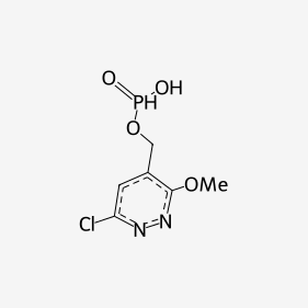 COc1nnc(Cl)cc1CO[PH](=O)O